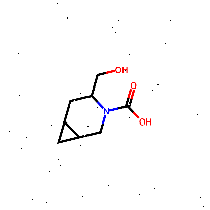 O=C(O)N1CC2CC2CC1CO